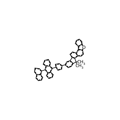 CC1(C)c2ccc(-c3ccc(-c4c5ccccc5c(-c5cccc6ccccc56)c5ccccc45)cc3)cc2-c2ccc3c(ccc4oc5ccccc5c43)c21